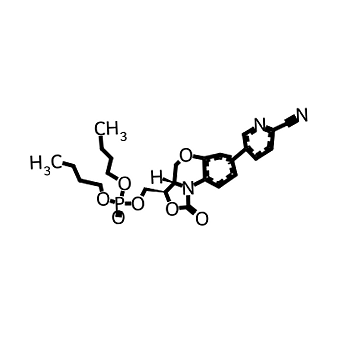 CCCCOP(=O)(OCCCC)OC[C@@H]1OC(=O)N2c3ccc(-c4ccc(C#N)nc4)cc3OC[C@@H]12